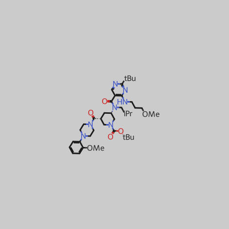 COCCCNc1nc(C(C)(C)C)ncc1C(=O)N(CC(C)C)[C@H]1C[C@@H](C(=O)N2CCN(c3ccccc3OC)CC2)CN(C(=O)OC(C)(C)C)C1